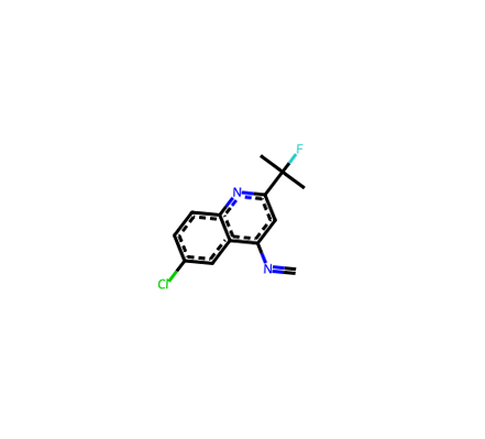 C=Nc1cc(C(C)(C)F)nc2ccc(Cl)cc12